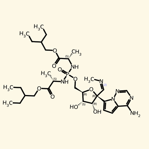 CCC(CC)COC(=O)[C@H](C)NP(=O)(N[C@@H](C)C(=O)OCC(CC)CC)OC[C@H]1O[C@@](/C=N\C)(c2ccc3c(N)ncnn23)[C@H](O)[C@@H]1O